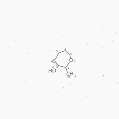 CC1OCCCSC1O